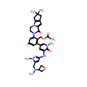 CC(=O)OCc1c(-c2cc(Nc3cc(CN(C)C4COC4)n(C)n3)c(=O)n(C)c2)cc(F)cc1N1CCn2c(cc3c2CC(C)(C)C3)C1=O